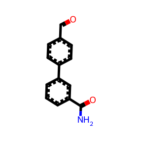 NC(=O)c1cccc(-c2ccc(C=O)cc2)c1